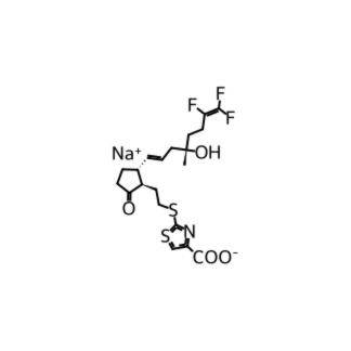 C[C@@](O)(CC=C[C@H]1CCC(=O)[C@@H]1CCSc1nc(C(=O)[O-])cs1)CCC(F)=C(F)F.[Na+]